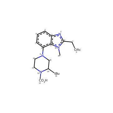 CC(=O)OCc1nc2cccc(N3CCN(C(=O)O)C(C(C)(C)C)C3)c2n1C